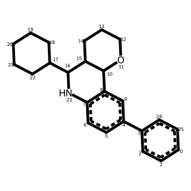 c1ccc(-c2ccc3c(c2)C2OCCCC2C(C2CCCCC2)N3)cc1